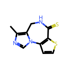 Cc1ncn2c1CNC(=S)c1sccc1-2